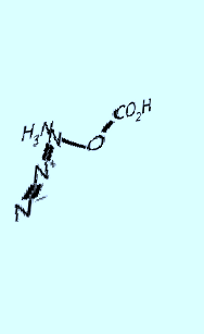 N.[N-]=[N+]=NOC(=O)O